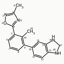 Cc1noc(-c2cccc(-c3ccc4c(c3)NCN4)c2C)n1